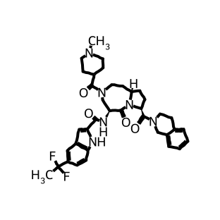 CN1CCC(C(=O)N2CC[C@H]3CC[C@@H](C(=O)N4CCc5ccccc5C4)N3C(=O)[C@@H](NC(=O)c3cc4cc(C(C)(F)F)ccc4[nH]3)C2)CC1